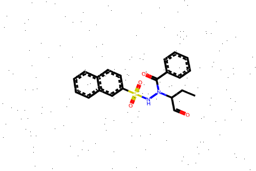 CCC(C=O)N(NS(=O)(=O)c1ccc2ccccc2c1)C(=O)c1ccccc1